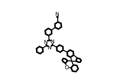 N#Cc1cccc(-c2cccc(-c3nc(-c4ccccc4)nc(-c4ccc(-c5ccc6c(c5)C5(c7ccccc7Oc7ccccc75)c5ccccc5-6)cc4)n3)c2)c1